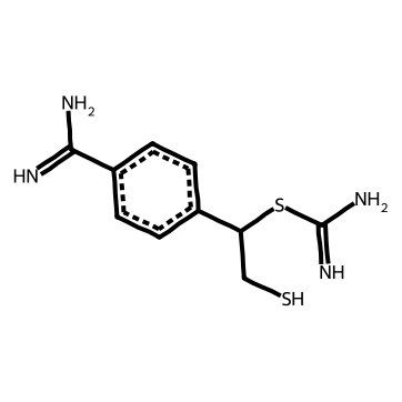 N=C(N)SC(CS)c1ccc(C(=N)N)cc1